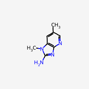 Cc1cnc2nc(N)n(C)c2c1